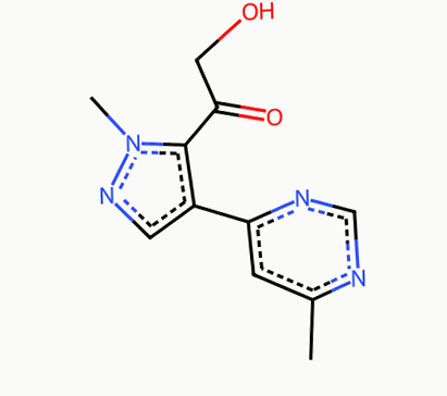 Cc1cc(-c2cnn(C)c2C(=O)CO)ncn1